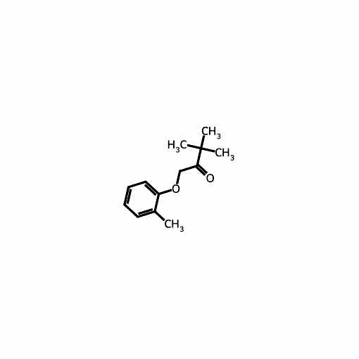 Cc1ccccc1OCC(=O)C(C)(C)C